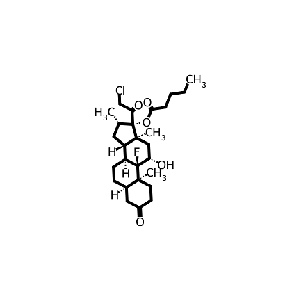 CCCCC(=O)O[C@@]1(C(=O)CCl)[C@@H](C)C[C@H]2[C@@H]3CC[C@@H]4CC(=O)CC[C@]4(C)[C@@]3(F)[C@@H](O)C[C@@]21C